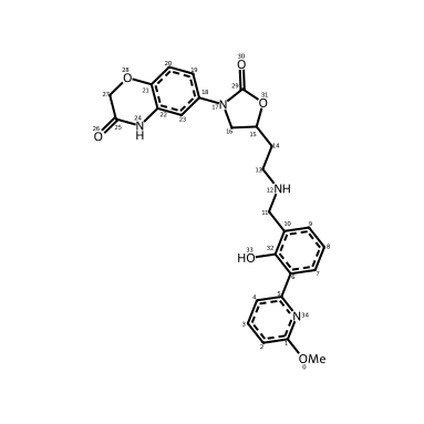 COc1cccc(-c2cccc(CNCCC3CN(c4ccc5c(c4)NC(=O)CO5)C(=O)O3)c2O)n1